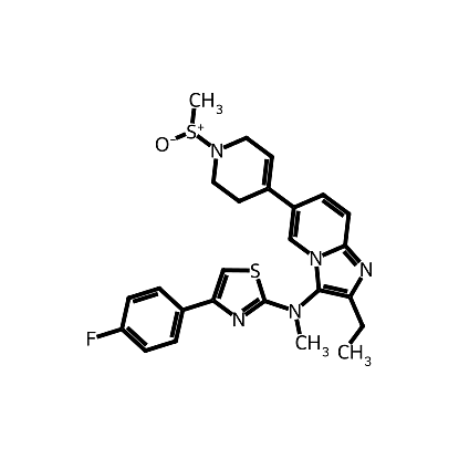 CCc1nc2ccc(C3=CCN([S+](C)[O-])CC3)cn2c1N(C)c1nc(-c2ccc(F)cc2)cs1